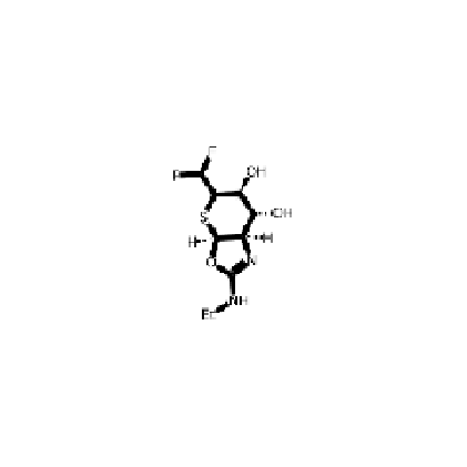 CCNC1=N[C@@H]2[C@@H](O)[C@H](O)C(C(F)F)S[C@@H]2O1